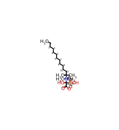 CCCCCCCCCCCCC(C)(C)[N+](C)(C)C(O)(C(=O)[O-])S(=O)(=O)O